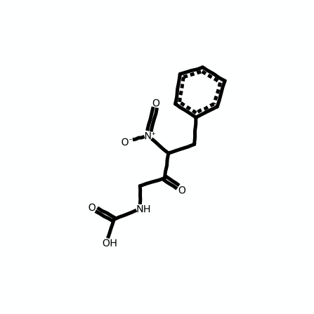 O=C(O)NCC(=O)C(Cc1ccccc1)[N+](=O)[O-]